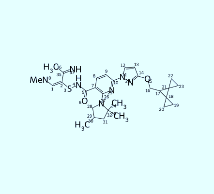 CN/C=C(/SNC(=O)c1ccc(-n2ccc(OCC3C4(CC4)C34CC4)n2)nc1N1CC(C)CC1(C)C)C(C)=N